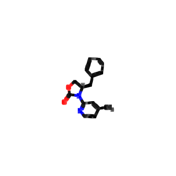 Cc1ccnc(N2C(=O)OC[C@H]2Cc2ccccc2)c1